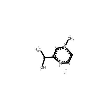 CC(O)c1c[n+](C)ccn1.[I-]